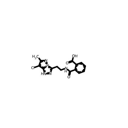 Cc1nn2c(CCNC(=O)c3ccccc3C(=O)O)n[nH]c2c1Cl